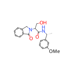 COc1cccc([C@@H](C)NC(=O)C(CO)N2Cc3ccccc3C2=O)c1